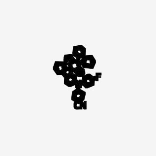 N#Cc1ccc(N(c2ccc(F)cc2)c2ccc3c(c2)C2(c4ccccc4-3)c3ccccc3C(c3ccccc3)(c3ccccc3)c3ccccc32)cc1